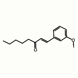 CCCCCC(=O)C=Cc1cccc(OC)c1